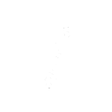 CS(=O)(=O)c1cccc(OCC(O)CNC(=O)O[C@H]2COC3(CCN(S(=O)(=O)c4cnc5c(F)cccc5c4O)CC3)C2)c1